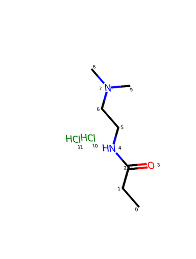 CCC(=O)NCCN(C)C.Cl.Cl